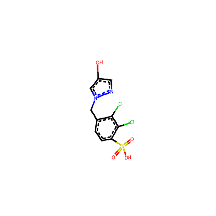 O=S(=O)(O)c1ccc(Cn2cc(O)[c]n2)c(Cl)c1Cl